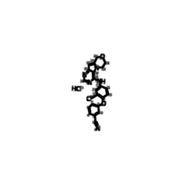 Cl.N#Cc1cccc(Oc2ccc(Nc3ncnc4cc5n(c34)CCOC5)cc2Cl)c1